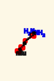 CCCCC(=O)Oc1ccc(OC(=O)C=Cc2ccc(OCCCCCCCOC(=O)c3cc(N)cc(N)c3)cc2)cc1